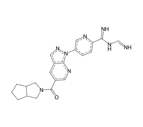 N=CNC(=N)c1ccc(-n2ncc3cc(C(=O)N4CC5CCCC5C4)cnc32)cn1